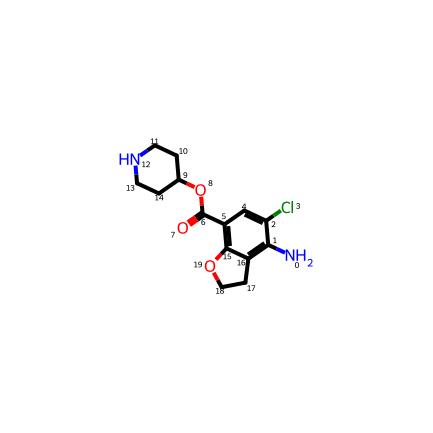 Nc1c(Cl)cc(C(=O)OC2CCNCC2)c2c1CCO2